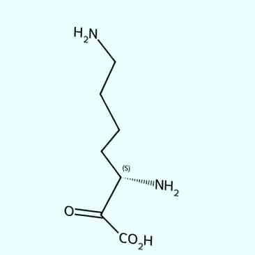 NCCCC[C@H](N)C(=O)C(=O)O